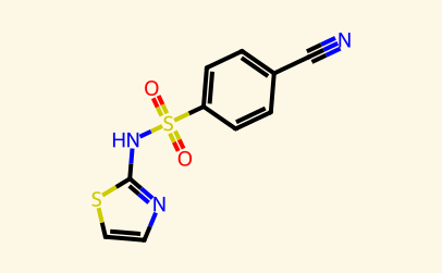 N#Cc1ccc(S(=O)(=O)Nc2nccs2)cc1